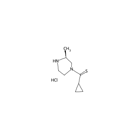 C[C@H]1CN(C(=S)C2CC2)CCN1.Cl